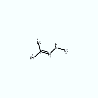 CCN/N=C(\CC)C(C)C